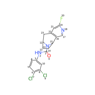 O=C(Nc1ccc(Cl)c(Cl)c1)N1C2CCC1c1cnc(F)cc1C2